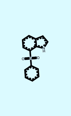 O=S(=O)(c1ccccc1)c1cccc2cc[nH]c12